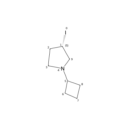 I[C@H]1CCN(C2CCC2)C1